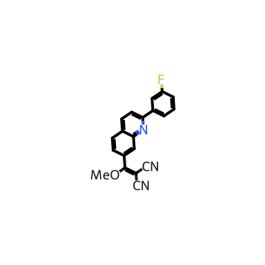 COC(=C(C#N)C#N)c1ccc2ccc(-c3cccc(F)c3)nc2c1